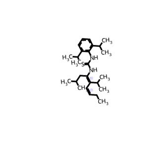 CC/C=C\C(=C(/CC(C)C)NC(=S)Nc1c(C(C)C)cccc1C(C)C)C(C)C